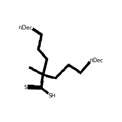 CCCCCCCCCCCCCC(C)(CCCCCCCCCCCCC)C(=S)S